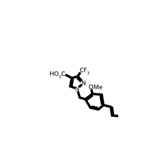 CC=Cc1ccc(Cn2cc(C(=O)O)c(C(F)(F)F)n2)c(OC)c1